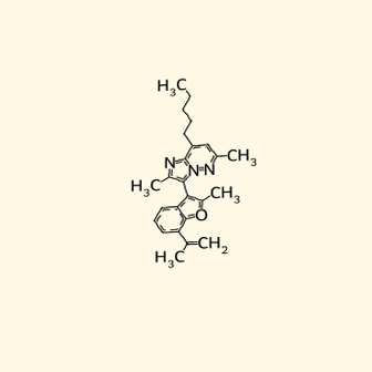 C=C(C)c1cccc2c(-c3c(C)nc4c(CCCCC)cc(C)nn34)c(C)oc12